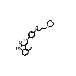 O=C1Nc2cccc(F)c2C1=CNc1ccc(NCCCN2CCOCC2)cc1